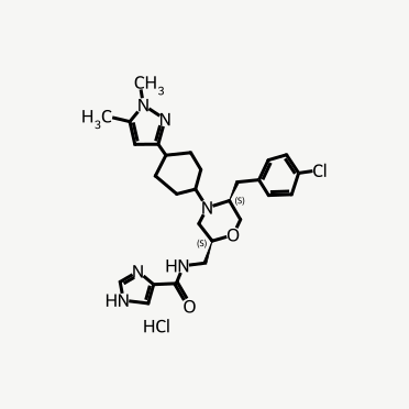 Cc1cc(C2CCC(N3C[C@H](CNC(=O)c4c[nH]cn4)OC[C@@H]3Cc3ccc(Cl)cc3)CC2)nn1C.Cl